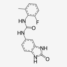 Cc1cccc(F)c1NC(=O)Nc1ccc2[nH]c(=O)[nH]c2c1